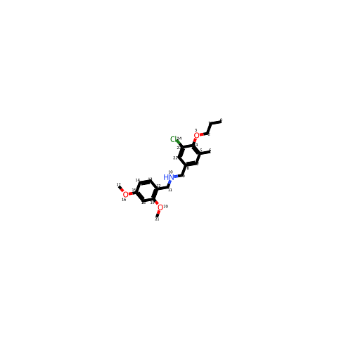 CCCOc1c(C)cc(CNCc2ccc(OC)cc2OC)cc1Cl